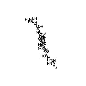 N=C(N)NCCNC[C@H](O)c1cc([C@@H]2CC3(CC3)[C@@H]3CN2C(=O)N3OS(=O)(=O)ON2C(=O)N3C[C@H]2C2(CC2)C[C@H]3c2cc([C@@H](O)CNCCNC(=N)N)on2)no1